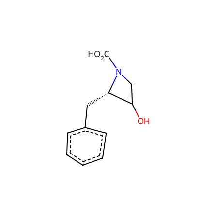 O=C(O)N1CC(O)[C@@H]1Cc1ccccc1